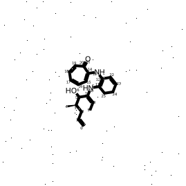 C=CC[C@@H](C)C(O)/C(=C\C)NC1=C(Nc2cccccc2=O)C=CCC1